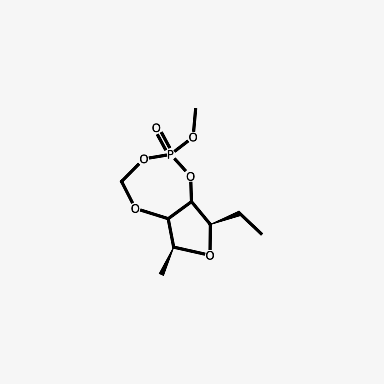 CC[C@H]1O[C@@H](C)C2OCOP(=O)(OC)OC21